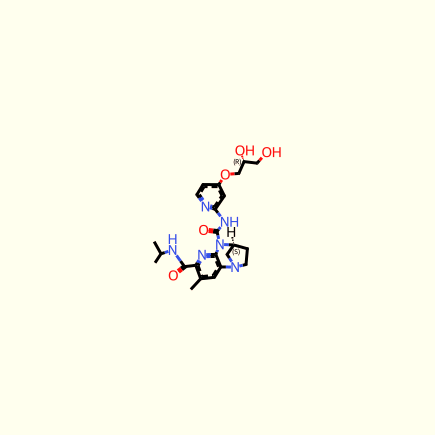 Cc1cc2c(nc1C(=O)NC(C)C)N(C(=O)Nc1cc(OC[C@H](O)CO)ccn1)[C@H]1CCN2C1